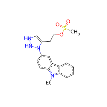 CCn1c2ccccc2c2cc(N3NNC=C3CCOS(C)(=O)=O)ccc21